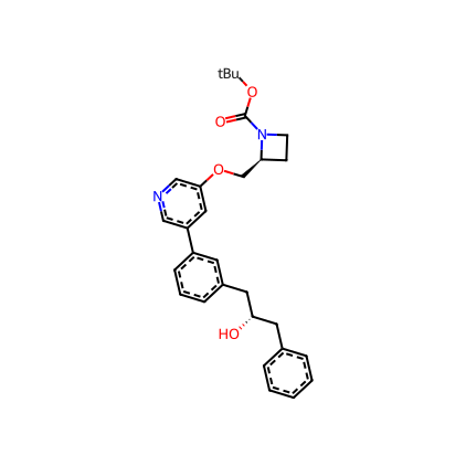 CC(C)(C)OC(=O)N1CC[C@H]1COc1cncc(-c2cccc(C[C@@H](O)Cc3ccccc3)c2)c1